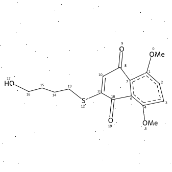 COc1ccc(OC)c2c1C(=O)C=C(SCCCCO)C2=O